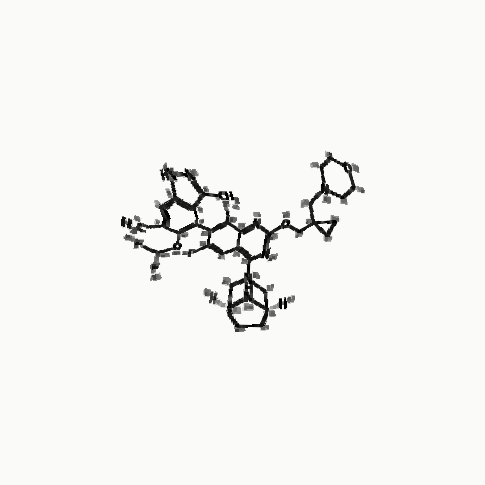 Cc1cc2[nH]nc(C)c2c(-c2c(F)cc3c(N4C[C@H]5CC[C@@H](C4)N5)nc(OCC4(CN5CCOCC5)CC4)nc3c2F)c1OC(F)F